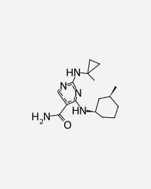 C[C@H]1CCC[C@@H](Nc2nc(NC3(C)CC3)ncc2C(N)=O)C1